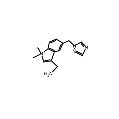 C[N+]1(C)C=C(CN)c2cc(Cn3cncn3)ccc21